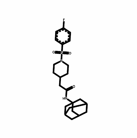 O=C(CC1CCN(S(=O)(=O)c2ccc(F)cc2)CC1)NC12CC3CC(CC(C3)C1)C2